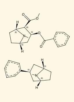 CN1[C@@H]2CC[C@H]1C[C@H](c1ccccc1)C2.COC(=O)[C@H]1[C@@H](OC(=O)c2ccccc2)C[C@@H]2CC[C@H]1N2C